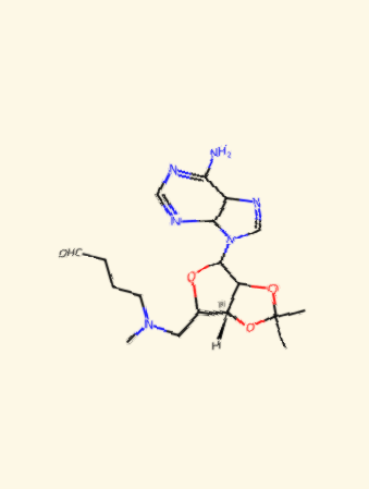 CN(CCCC=O)CC1OC(N2C=NC3C(N)=NC=NC32)C2OC(C)(C)O[C@H]12